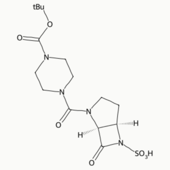 CC(C)(C)OC(=O)N1CCN(C(=O)N2CC[C@@H]3[C@H]2C(=O)N3S(=O)(=O)O)CC1